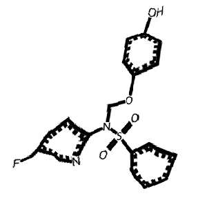 O=S(=O)(c1ccccc1)N(COc1ccc(O)cc1)c1ccc(F)cn1